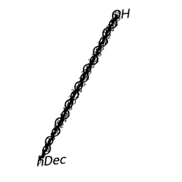 CCCCCCCCCCCCCOCCOCCOCCOCCOCCOCCOCCOCCOCCOCCOCCOCCOCCOCCOCCO